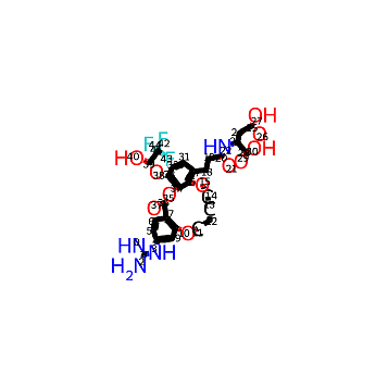 N=C(N)Nc1ccc2c(c1)OCCCCOc1c(CCC(=O)NC(CC(=O)O)C(=O)O)cccc1OC2=O.O=C(O)C(F)(F)F